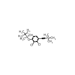 CC(C)(C)[Si](C)(C)Oc1ccc(C#C[Si](C)(C)C)c(Cl)c1Cl